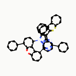 c1ccc(-c2nc(-c3ccccc3)nc(-c3cccc4oc5c(-c6ccccc6)ccc(-n6c7ccccc7c7c8sc9ccccc9c8ccc76)c5c34)n2)cc1